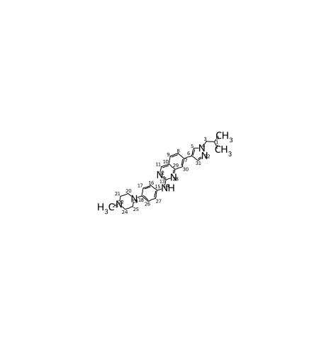 CC(C)Cn1cc(-c2ccc3cnc(Nc4ccc(N5CCN(C)CC5)cc4)nc3c2)cn1